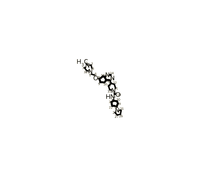 CN1CCN(CCOc2ccc3c(C4CCN(C(=O)Nc5ccc(N6CCCC6)cc5)CC4)ncnc3c2)CC1